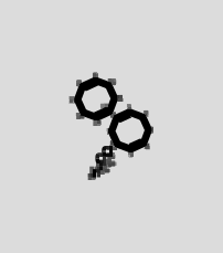 C1=CCCC=CCC1.C1=CCCC=CCC1.[Cl-].[Cl-].[In+3].[In+3]